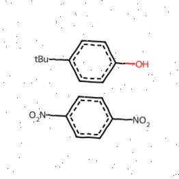 CC(C)(C)c1ccc(O)cc1.O=[N+]([O-])c1ccc([N+](=O)[O-])cc1